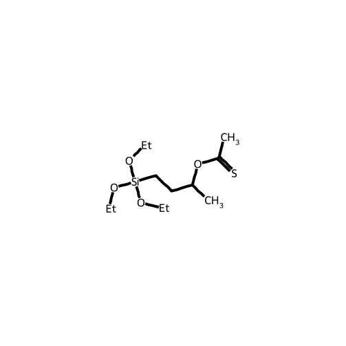 CCO[Si](CCC(C)OC(C)=S)(OCC)OCC